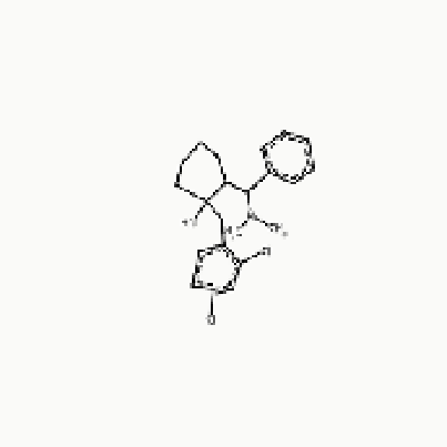 CN(C)C(c1ccccc1)C1CCCCC1(O)Cc1ccc(Cl)cc1Cl